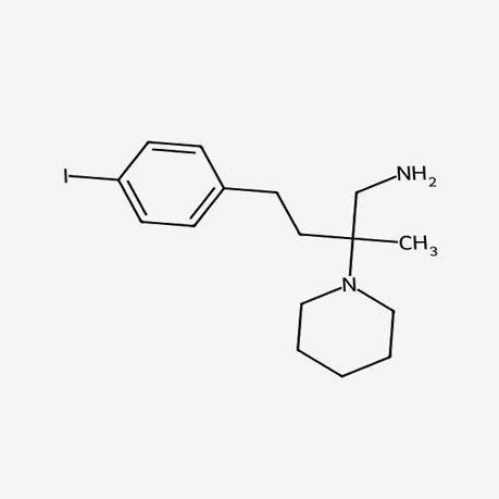 CC(CN)(CCc1ccc(I)cc1)N1CCCCC1